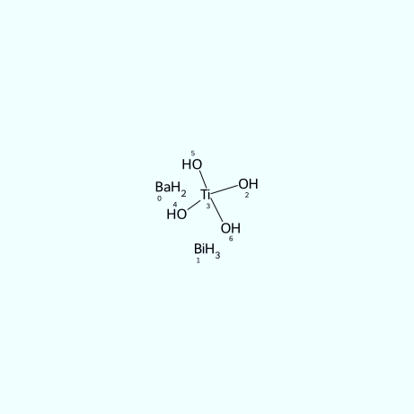 [BaH2].[BiH3].[OH][Ti]([OH])([OH])[OH]